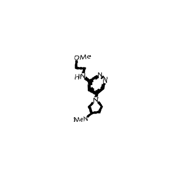 CNC1CCN(c2cnnc(NCCOC)c2)C1